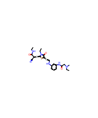 CCNC(=O)C(=C=c1sc(=C=CNc2cccc(NC(=O)CN(C)CC)c2)c(=O)n1CC)C#N